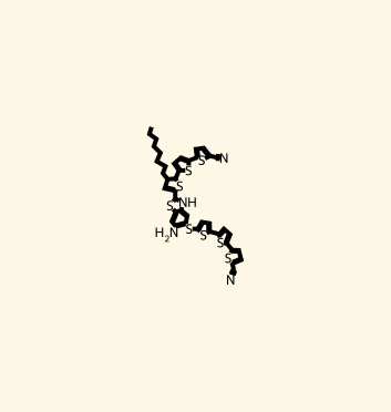 CCCCCCCCC1C=C(C2Nc3cc(Sc4ccc(-c5ccc(-c6ccc(C#N)s6)s5)s4)c(N)cc3S2)SC1c1ccc(-c2ccc(C#N)s2)s1